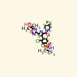 C[C@H](NS(=O)(=O)c1ccc(-c2sc(-c3noc(C(C)(C)O)n3)nc2C(=O)N2CCC(F)(F)CC2)c(Cl)c1Cl)C(F)(F)F